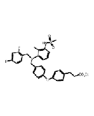 CCOC(=O)CCc1ccc(Oc2ccc(CN(Cc3ccc(F)cc3F)c3cccc(NS(C)(=O)=O)c3C)cc2)cc1